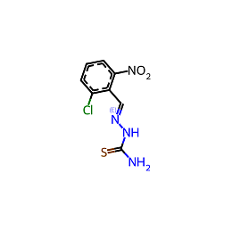 NC(=S)N/N=C/c1c(Cl)cccc1[N+](=O)[O-]